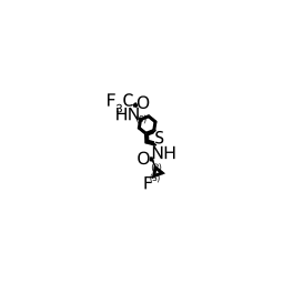 O=C(Nc1cc2c(s1)CC[C@H](NC(=O)C(F)(F)F)C2)[C@H]1C[C@@H]1F